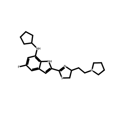 Fc1cc(NC2CCCC2)c2[nH]c(C3=NC(CCN4CCCC4)CS3)cc2c1